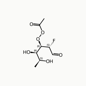 CC(=O)OO[C@H]([C@H](O)[C@H](C)O)[C@H](F)C=O